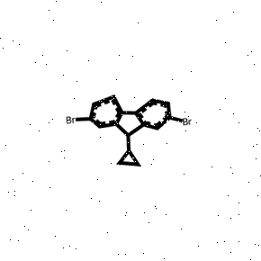 Brc1ccc2c(c1)C(C1CC1)c1cc(Br)ccc1-2